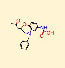 CC(=O)CC1CN(Cc2ccccc2)c2cc(NC(=O)O)ccc2O1